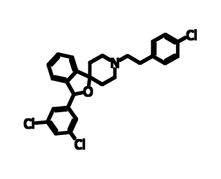 Clc1ccc(CCN2CCC3(CC2)OC(c2cc(Cl)cc(Cl)c2)c2ccccc23)cc1